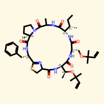 C=CC(C)(C)OC[C@@H]1NC(=O)[C@@H]([C@H](C)OC(C)(C)C=C)NC(=O)C2CSC(=N2)[C@H](Cc2ccccc2)NC(=O)[C@H]2CCCN2C(=O)C(C)NC(=O)[C@H]([C@@H](C)CC)NC1=O